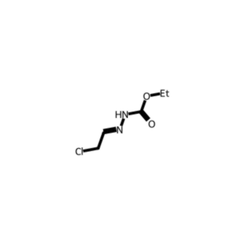 CCOC(=O)N/N=C/CCl